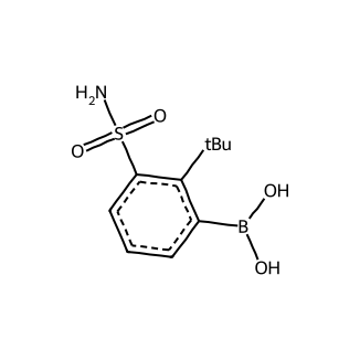 CC(C)(C)c1c(B(O)O)cccc1S(N)(=O)=O